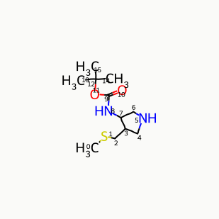 CSCC1CNCC1NC(=O)OC(C)(C)C